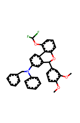 COc1ccc(C2Oc3cccc(OC(F)F)c3-c3ccc(N(Cc4ccccc4)c4ccccc4)cc32)cc1OC